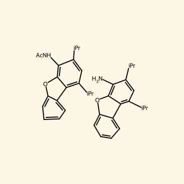 CC(=O)Nc1c(C(C)C)cc(C(C)C)c2c1oc1ccccc12.CC(C)c1cc(C(C)C)c2c(oc3ccccc32)c1N